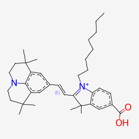 CCCCCCCC[N+]1=C(/C=C/c2cc3c4c(c2)C(C)(C)CCN4CCC3(C)C)C(C)(C)c2cc(C(=O)O)ccc21